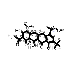 CO/N=C(/C)c1cc(C(C)(C)C)c(O)c2c1C[C@@H]1C[C@@H]3[C@@H](N(C)C)C(O)=C(C(N)=O)C(=O)[C@]3(O)C(O)=C1C2=O